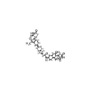 Cn1c(=O)n(C2CCC(=O)NC2=O)c2ccc(N3CCC4(CC3)CN(CC(=O)Nc3ccc5c(F)c(N6CC(=O)NS6(=O)=O)c(O)cc5c3)C4)cc21